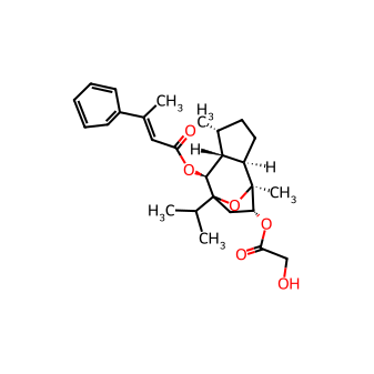 C/C(=C\C(=O)O[C@H]1[C@@H]2[C@H](C)CC[C@H]2[C@]2(C)OC1(C(C)C)C[C@H]2OC(=O)CO)c1ccccc1